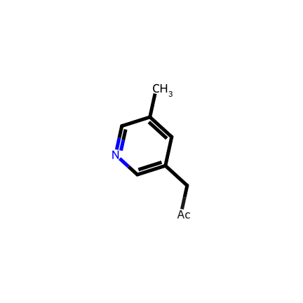 CC(=O)Cc1cncc(C)c1